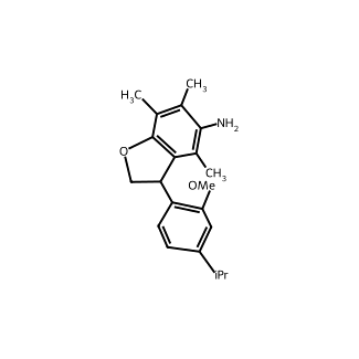 COc1cc(C(C)C)ccc1C1COc2c(C)c(C)c(N)c(C)c21